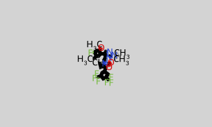 COc1cc(F)c(C(C)C)cc1-c1cnc(N(C)C)nc1CN1C(=O)OC(c2cc(C(F)(F)F)cc(C(F)(F)F)c2)C12CC2